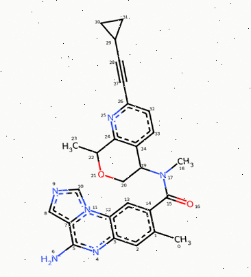 Cc1cc2nc(N)c3cncn3c2cc1C(=O)N(C)C1COC(C)c2nc(C#CC3CC3)ccc21